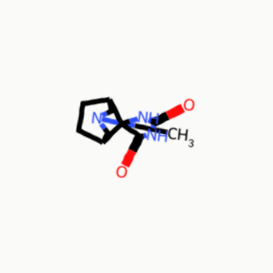 CN1CC2CCC(C1)C21NC(=O)NC1=O